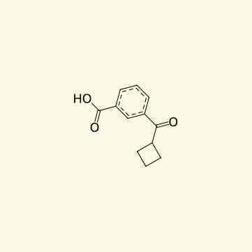 O=C(O)c1cccc(C(=O)C2CCC2)c1